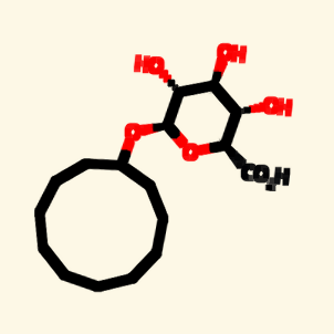 O=C(O)[C@H]1O[C@@H](OC2CCCCCCCCCC2)[C@H](O)[C@@H](O)[C@@H]1O